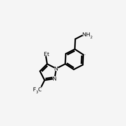 CCc1cc(C(F)(F)F)nn1-c1cc[c]c(CN)c1